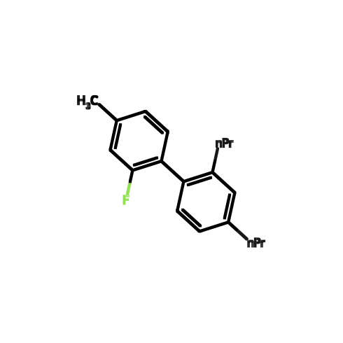 CCCc1ccc(-c2ccc(C)cc2F)c(CCC)c1